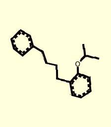 CC(C)Oc1ccc[c]c1CCCCc1ccccc1